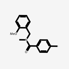 [CH2]c1ccc(C(=O)N(C)Cc2ccccc2OC)cc1